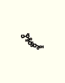 O=C(O)Cc1ccc(Oc2ccc(NC(=O)c3cncc(-c4ccccc4)c3)cc2)c(Cl)c1